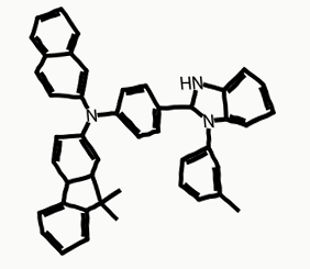 Cc1cccc(N2c3ccccc3NC2c2ccc(N(C3=CC4C(C=C3)c3ccccc3C4(C)C)c3ccc4ccccc4c3)cc2)c1